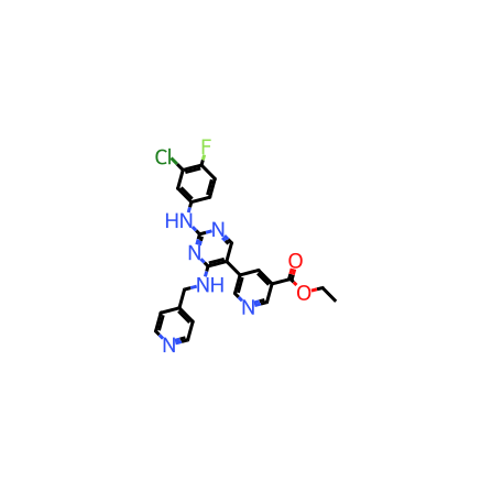 CCOC(=O)c1cncc(-c2cnc(Nc3ccc(F)c(Cl)c3)nc2NCc2ccncc2)c1